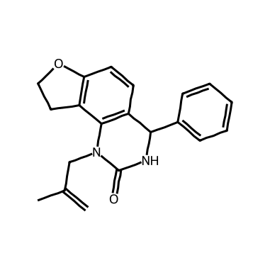 C=C(C)CN1C(=O)NC(c2ccccc2)c2ccc3c(c21)CCO3